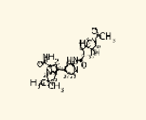 CC(=O)N1C[C@H]2CC(C(=O)Nc3cc(-c4cc(C(N)=O)n5c4CC(C)(C)C5)ccn3)C[C@H]2C1